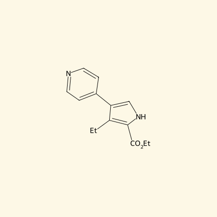 CCOC(=O)c1[nH]cc(-c2ccncc2)c1CC